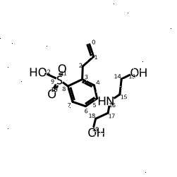 C=CCc1ccccc1S(=O)(=O)O.OCCNCCO